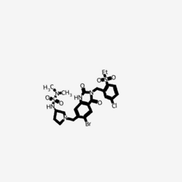 CCS(=O)(=O)c1ccc(Cl)cc1Cn1c(=O)[nH]c2cc(CN3CC[C@@H](NS(=O)(=O)N(C)C)C3)c(Br)cc2c1=O